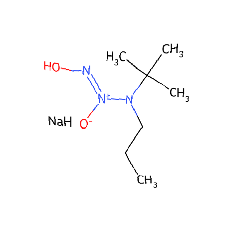 CCCN([N+]([O-])=NO)C(C)(C)C.[NaH]